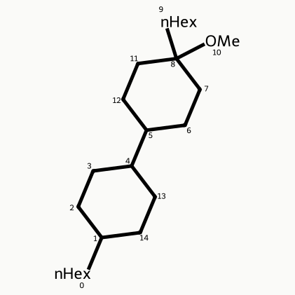 CCCCCCC1CCC(C2CCC(CCCCCC)(OC)CC2)CC1